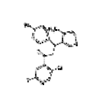 Cc1ccccc1C(CC(=O)c1cc(F)ncc1Cl)c1ccc(Br)cc1